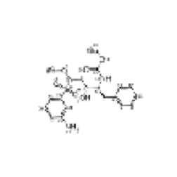 CC(C)ON(C[C@@H](O)[C@H](Cc1ccccc1)NC(=O)OC(C)(C)C)S(=O)(=O)c1cccc(N)c1